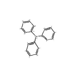 c1ccc([Te+](c2ccccc2)c2ccccc2)cc1